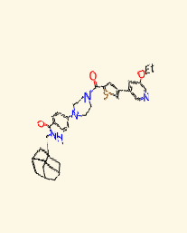 CCOc1cncc(-c2csc(C(=O)N3CCN(c4ccc(C(=O)NCC56CC7CC(CC(C7)C5)C6)cc4)CC3)c2)c1